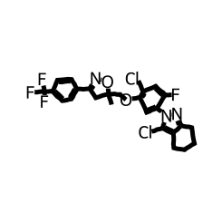 CC1(COc2cc(-n3nc4c(c3Cl)CCCC4)c(F)cc2Cl)CC(c2ccc(C(F)(F)F)cc2)=NO1